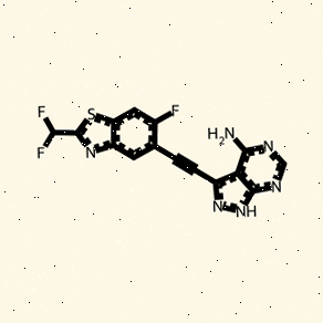 Nc1ncnc2[nH]nc(C#Cc3cc4nc(C(F)F)sc4cc3F)c12